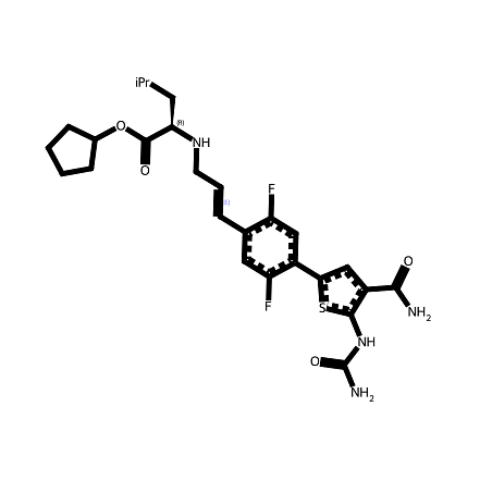 CC(C)C[C@@H](NC/C=C/c1cc(F)c(-c2cc(C(N)=O)c(NC(N)=O)s2)cc1F)C(=O)OC1CCCC1